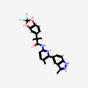 Cc1ccc(NC(=O)C(C)(C)c2ccc3c(c2)OC(F)(F)O3)nc1-c1ccc2[nH]nc(C)c2c1